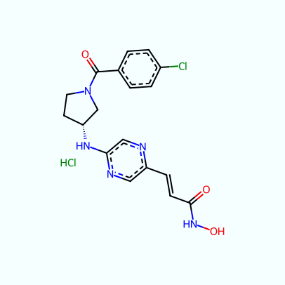 Cl.O=C(/C=C/c1cnc(N[C@@H]2CCN(C(=O)c3ccc(Cl)cc3)C2)cn1)NO